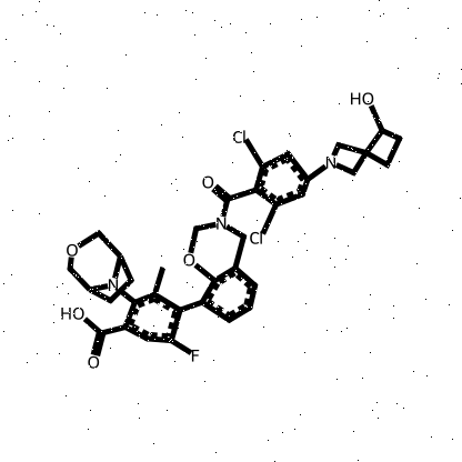 Cc1c(-c2cccc3c2OCN(C(=O)c2c(Cl)cc(N4CC5(CCC5O)C4)cc2Cl)C3)c(F)cc(C(=O)O)c1N1C2CCC1COC2